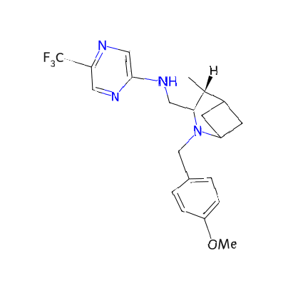 COc1ccc(CN2C3CC(C3)[C@@H](C)C2CNc2cnc(C(F)(F)F)cn2)cc1